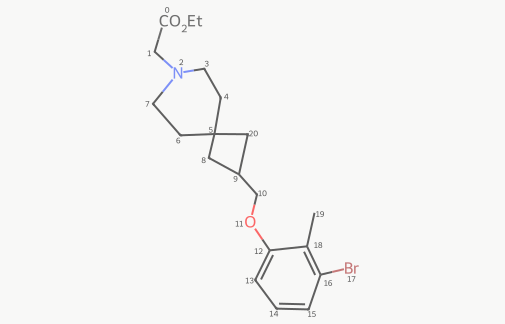 CCOC(=O)CN1CCC2(CC1)CC(COc1cccc(Br)c1C)C2